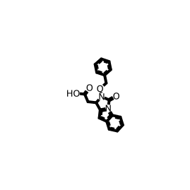 O=C(O)CC1c2cc3ccccc3n2C(=O)N1OCc1ccccc1